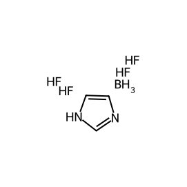 B.F.F.F.F.c1c[nH]cn1